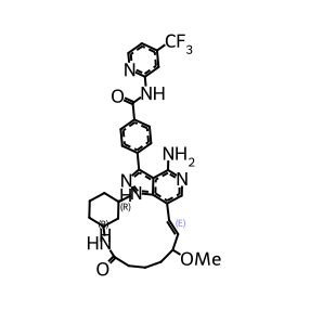 COC1/C=C/c2cnc(N)c3c(-c4ccc(C(=O)Nc5cc(C(F)(F)F)ccn5)cc4)nn(c23)[C@@H]2CCC[C@H](C2)NC(=O)CCC1